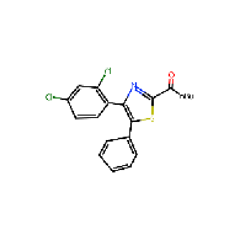 CCCCC(=O)c1nc(-c2ccc(Cl)cc2Cl)c(-c2ccccc2)s1